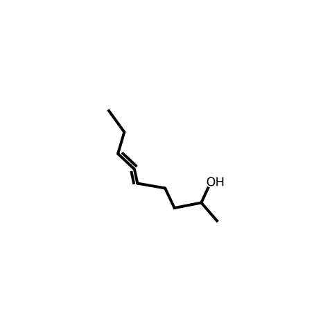 CCC=C=CCCC(C)O